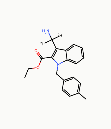 [2H]C([2H])(N)c1c(C(=O)OCC)n(Cc2ccc(C)cc2)c2ccccc12